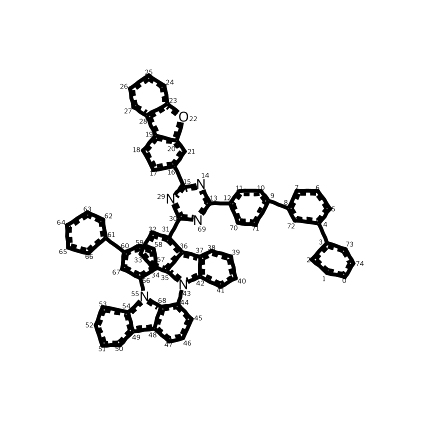 c1ccc(-c2cccc(-c3ccc(-c4nc(-c5ccc6c(c5)oc5ccccc56)nc(-c5cccc6c5c5ccccc5n6-c5cccc6c7ccccc7n(-c7cccc(-c8ccccc8)c7)c56)n4)cc3)c2)cc1